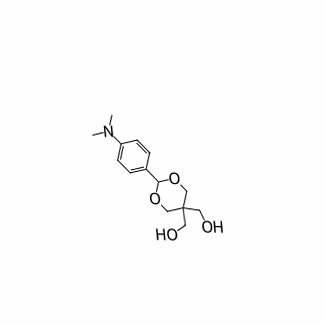 CN(C)c1ccc(C2OCC(CO)(CO)CO2)cc1